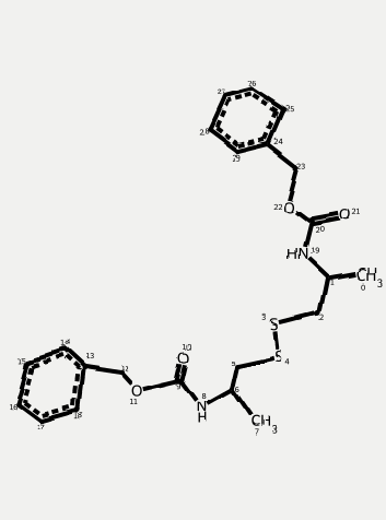 CC(CSSCC(C)NC(=O)OCc1ccccc1)NC(=O)OCc1ccccc1